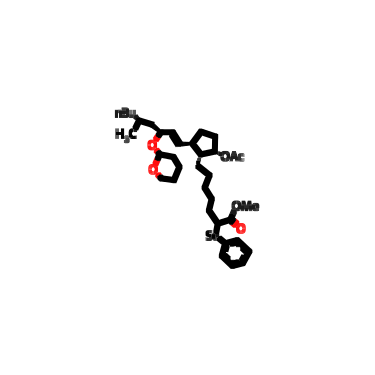 CCCC[C@H](C)C[C@@H](C=C[C@H]1CC[C@H](OC(C)=O)[C@@H]1CCCCCC([Se]c1ccccc1)C(=O)OC)OC1CCCCO1